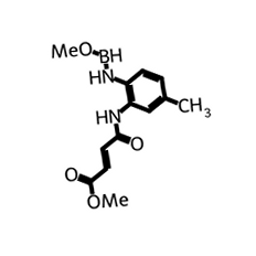 COBNc1ccc(C)cc1NC(=O)/C=C/C(=O)OC